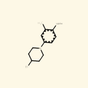 CCC1CCN(c2ccc(NC)c(C)c2)CC1